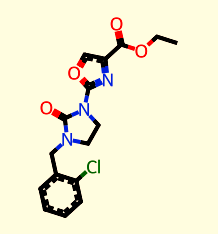 CCOC(=O)c1coc(N2CCN(Cc3ccccc3Cl)C2=O)n1